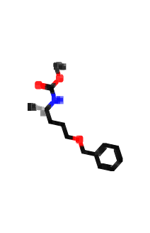 CC[C@@H](CCCOCc1ccccc1)NC(=O)OC(C)(C)C